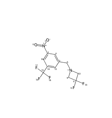 O=[N+]([O-])c1cc(CN2CC(F)(F)C2)cc(C(F)(F)F)c1